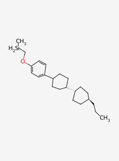 CCC[C@H]1CC[C@H](C2CCC(c3ccc(OC[SiH2]C)cc3)CC2)CC1